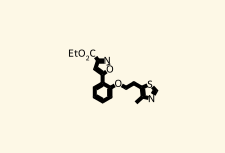 CCOC(=O)c1cc(-c2ccccc2OCCc2scnc2C)on1